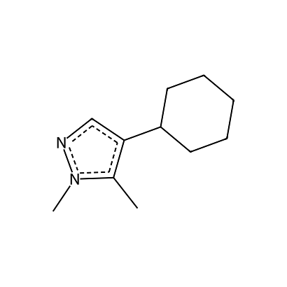 Cc1c(C2CCCCC2)cnn1C